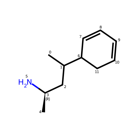 CC(C[C@@H](C)N)C1C=CC=CC1